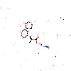 C1CCOCC1.C1CCOCC1.C=C(C)C(=O)OCCC#N